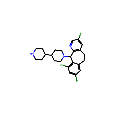 Clc1cc(Br)c2c(c1)CCc1cc(Br)cnc1C2N1CCC(C2CCNCC2)CC1